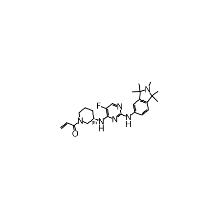 C=CC(=O)N1CCC[C@@H](Nc2nc(Nc3ccc4c(c3)C(C)(C)N(C)C4(C)C)ncc2F)C1